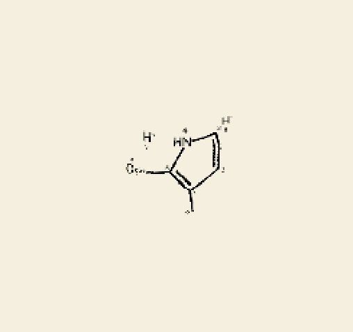 Cc1cc[nH][c]1[Os+2].[H-].[H-]